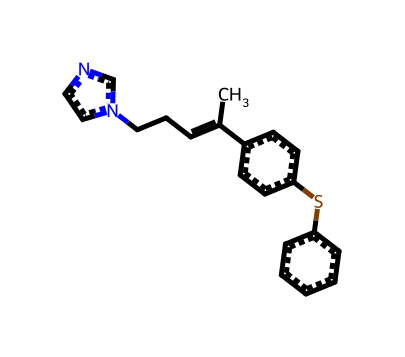 CC(=CCCn1ccnc1)c1ccc(Sc2ccccc2)cc1